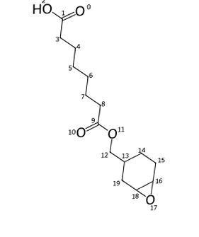 O=C(O)CCCCCCC(=O)OCC1CCC2OC2C1